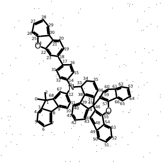 CC1(C)c2ccccc2-c2ccc(N(c3ccc(-c4ccc5c(c4)oc4ccccc45)cc3)C3CC=CC4=C3c3ccccc3C43c4ccc5ccccc5c4Oc4c3ccc3ccccc43)cc21